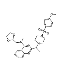 COc1ccc(S(=O)(=O)N2CCN(C(C)c3nc(N(C)CC4OCCO4)c4ccccc4n3)CC2)cc1